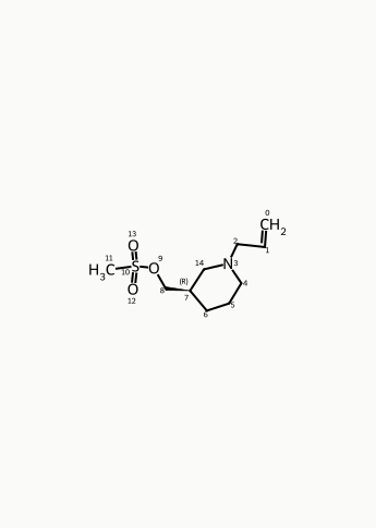 C=CCN1CCC[C@@H](COS(C)(=O)=O)C1